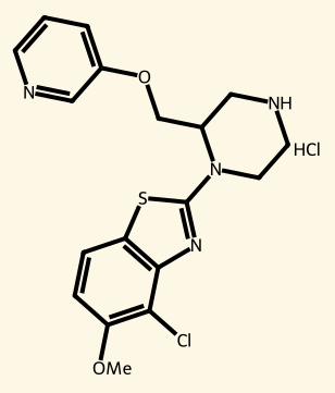 COc1ccc2sc(N3CCNCC3COc3cccnc3)nc2c1Cl.Cl